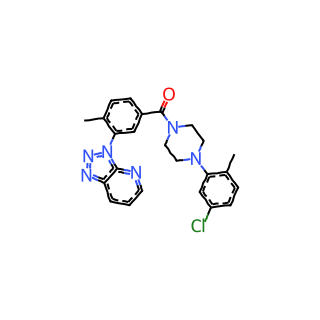 Cc1ccc(Cl)cc1N1CCN(C(=O)c2ccc(C)c(-n3nnc4cccnc43)c2)CC1